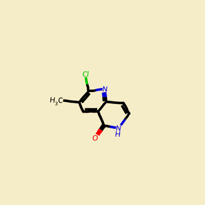 Cc1cc2c(=O)[nH]ccc2nc1Cl